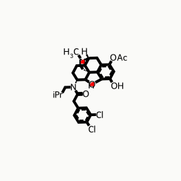 CC(=O)Oc1cc(O)c2c3c1C[C@@H]1[C@@H]4CC[C@@H](N(CC(C)C)C(=O)Cc5ccc(Cl)c(Cl)c5)[C@H](O2)[C@]34CCN1C